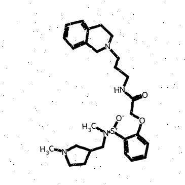 CN1CCC(CN(C)[S+]([O-])c2ccccc2OCC(=O)NCCCN2CCc3ccccc3C2)C1